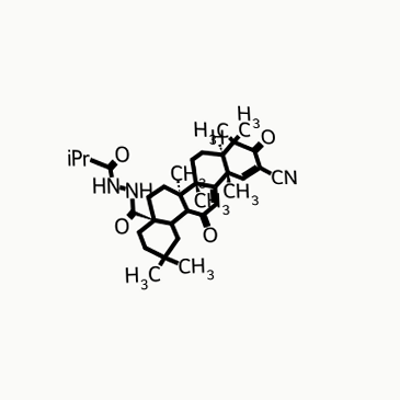 CC(C)C(=O)NNC(=O)[C@]12CCC(C)(C)CC1C1C(=O)C=C3[C@@]4(C)C=C(C#N)C(=O)C(C)(C)[C@@H]4CC[C@@]3(C)[C@]1(C)CC2